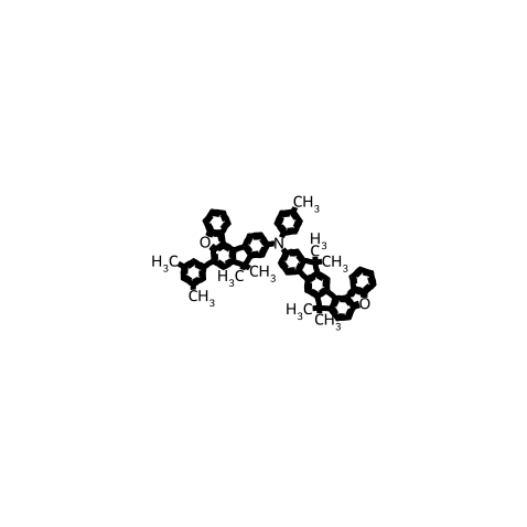 Cc1ccc(N(c2ccc3c(c2)C(C)(C)c2cc4c(cc2-3)C(C)(C)c2ccc3oc5ccccc5c3c2-4)c2ccc3c(c2)C(C)(C)c2cc(-c4cc(C)cc(C)c4)c4oc5ccccc5c4c2-3)cc1